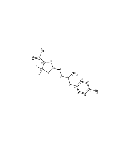 CC1(C)C[C@H](CCC(N)Cc2ccc(Br)cn2)CN1C(=O)O